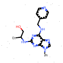 CCC(CO)Nc1nc(NCc2ccncc2)c2ncn(C(C)C)c2n1